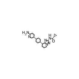 Nc1ccc(-c2ccc(-c3cccn4nc(NC(=O)C5CC5)nc34)cc2)cn1